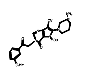 CCCCn1c(N2CCC[C@@H](N)C2)c(C#N)c2ncn(CC(=O)c3cccc(OC)c3)c(=O)c21